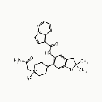 CC1(C)Cc2cc(NC(=O)c3cnn4cccnc34)c(N3CC[N+](C)(CC(N)=O)CC3)cc2O1